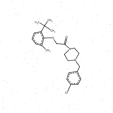 Cc1cccc(C(C)(C)C)c1OCC(=O)N1CCN(Cc2ccc(Cl)cc2)CC1